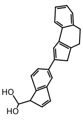 OC(O)C1C=Cc2cc(C3=CC4=C(CCc5ccccc54)C3)ccc21